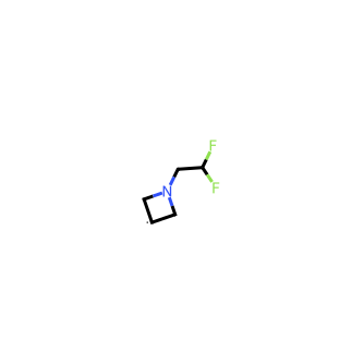 FC(F)CN1C[CH]C1